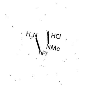 CCCN.CNC.Cl